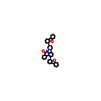 O=c1c2ccccc2c2c(-c3cccc4c3oc3ccccc34)ccc3c2n1C1C=C(c2cccc4c2oc2ccccc24)C=CC31